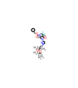 CC(C)(C)OC(=O)C(C)(C)CCn1ccc(N2C[C@H]3[C@@H](C2=O)C(F)(F)CN3C(=O)OCc2ccccc2)n1